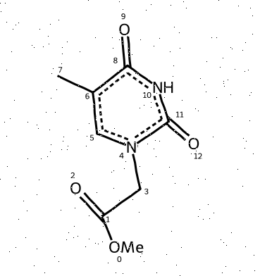 COC(=O)Cn1cc(C)c(=O)[nH]c1=O